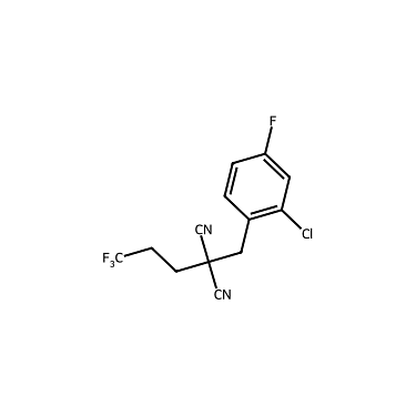 N#CC(C#N)(CCC(F)(F)F)Cc1ccc(F)cc1Cl